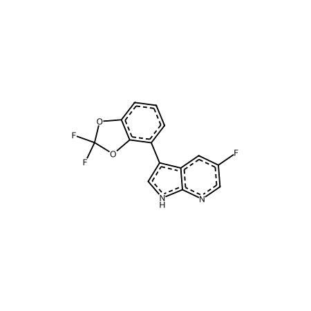 Fc1cnc2[nH]cc(-c3cccc4c3OC(F)(F)O4)c2c1